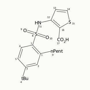 CCCCCc1cc(C(C)(C)C)ccc1S(=O)(=O)Nc1ccsc1C(=O)O